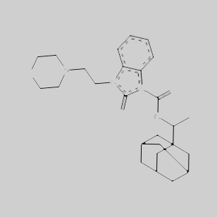 CC(NC(=O)n1c(=O)n(CCN2CCOCC2)c2ccccc21)C12CC3CC(CC(C3)C1)C2